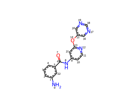 Nc1cccc(C(=O)Nc2ccnc(Oc3cncnc3)c2)c1